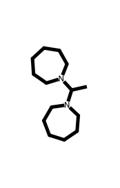 C[C](N1CCCCCC1)N1CCCCCC1